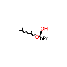 CCCC(C#CO)OC/C=C(\C)CCC=C(C)C